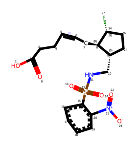 O=C(O)CC/C=C\C[C@@H]1[C@@H](CNS(=O)(=O)c2ccccc2[N+](=O)[O-])CC[C@H]1F